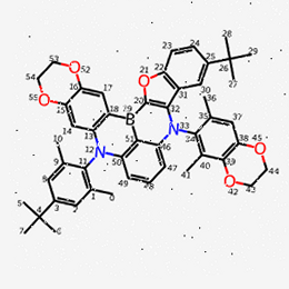 Cc1cc(C(C)(C)C)cc(C)c1N1c2cc3c(cc2B2c4oc5ccc(C(C)(C)C)cc5c4N(c4c(C)cc5c(c4C)OCCO5)c4cccc1c42)OCCO3